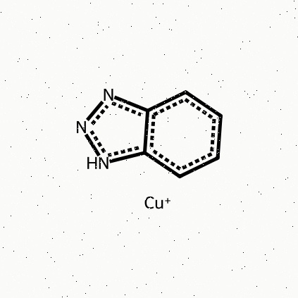 [Cu+].c1ccc2[nH]nnc2c1